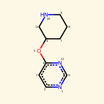 [c]1nccc(OC2CCCNC2)n1